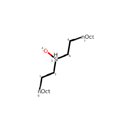 CCCCCCCCCC[SiH]([O])CCCCCCCCCC